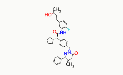 C=C(O)CCc1ccc(F)c(NC(=O)[C@H](c2ccc(CN3N=C(c4ccccc4)C(=C)CC3=O)cc2)C2CCCC2)c1